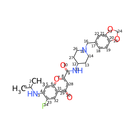 CC(C)Nc1cc2oc(C(=O)NC3CCN(Cc4ccc5c(c4)OCO5)CC3)cc(=O)c2cc1F